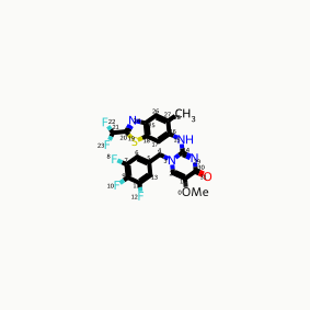 COc1cn(Cc2cc(F)c(F)c(F)c2)c(Nc2cc3sc(C(F)F)nc3cc2C)nc1=O